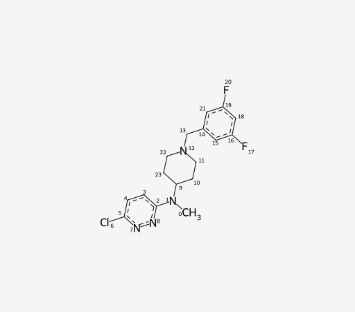 CN(c1ccc(Cl)nn1)C1CCN(Cc2cc(F)cc(F)c2)CC1